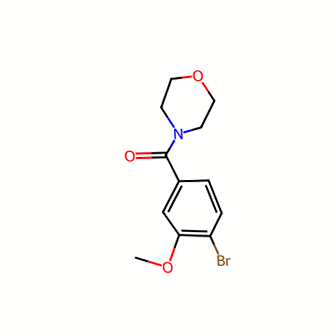 COc1cc(C(=O)N2CCOCC2)ccc1Br